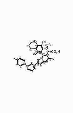 Cc1ccc(-c2cccc(-c3cc4nc(C)c([C@H](OC(C)(C)C)C(=O)O)c(-c5cc(F)c6c(c5C)CCCO6)n4n3)c2)cc1